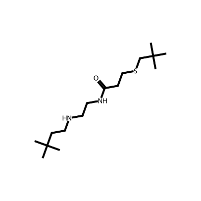 CC(C)(C)CCNCCNC(=O)CCSCC(C)(C)C